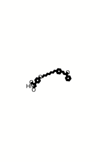 O=C1C=C(c2ccc(OCCCCCCCCc3ccc(C=CC(=O)c4ccccc4)cc3)cc2)C(=O)N1